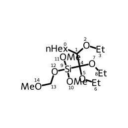 CCCCCCC(OCC)C(OCC)(OCC)[Si](OC)(OC)OCOC